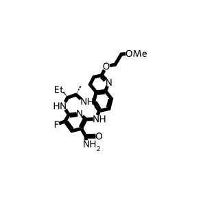 CC[C@@H](Nc1nc(Nc2ccc3c(c2)CCC(OCCOC)=N3)c(C(N)=O)cc1F)[C@H](C)N